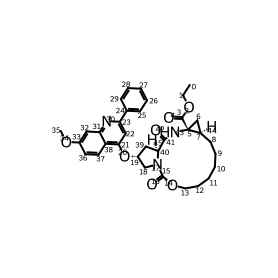 CCOC(=O)[C@@]12C[C@H]1CCCCCCOC(=O)N1C[C@H](Oc3cc(-c4ccccc4)nc4cc(OC)ccc34)C[C@H]1C(=O)N2